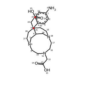 Nc1ccc(CC2CN3CCN(CC(=O)O)CCN(CCN(CC(=O)O)CC3)C2)cc1